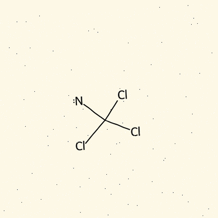 [N]C(Cl)(Cl)Cl